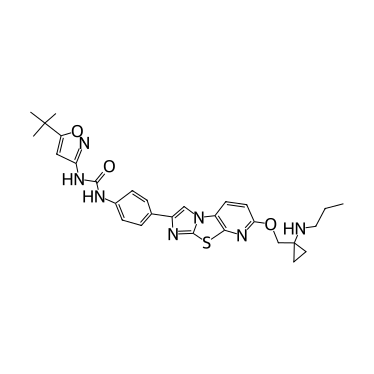 CCCNC1(COc2ccc3c(n2)sc2nc(-c4ccc(NC(=O)Nc5cc(C(C)(C)C)on5)cc4)cn23)CC1